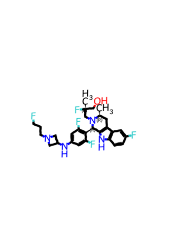 C[C@@H]1Cc2c([nH]c3ccc(F)cc23)[C@@H](c2c(F)cc(NC3CN(CCCF)C3)cc2F)N1C[C@@](C)(F)CO